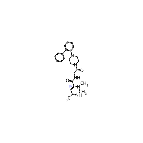 CC(=N)/C=C(/C(=O)NCC(=O)N1CCN(c2ccccc2-c2ccccc2)CC1)N(C)C